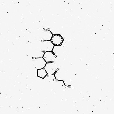 COc1cccc(C(=O)N[C@H](C(=O)N2CCC[C@H]2C(=O)NCC=O)C(C)(C)C)c1Cl